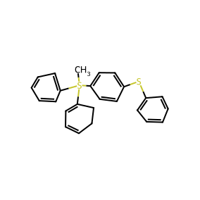 CS(C1=CC=CCC1)(c1ccccc1)c1ccc(Sc2ccccc2)cc1